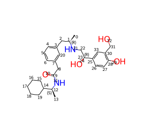 C[C@H](Cc1cccc(CC(=O)N[C@@H](C)C2CCCCC2)c1)NC[C@H](O)c1ccc(O)c(CO)c1